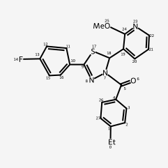 CCc1ccc(C(=O)N2N=C(c3ccc(F)cc3)SC2c2cccnc2OC)cc1